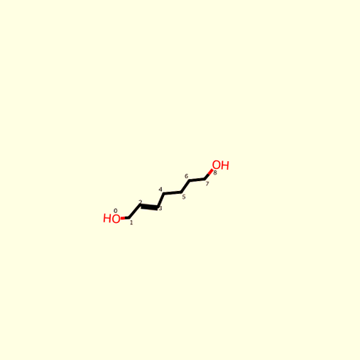 OCC=CCCCCO